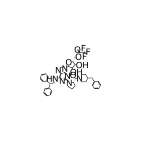 O=C([C@@H]1CCCN1c1nc(NCC(c2ccccc2)c2ccccc2)c2ncn([C@@H]3O[C@H](COC(=O)C(F)(F)F)[C@@H](O)[C@H]3O)c2n1)N1CCC(Cc2ccccc2)CC1